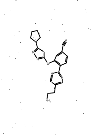 N#Cc1ccc(-c2ncc(CCN)cn2)c(Oc2nnc(N3CCCC3)s2)c1